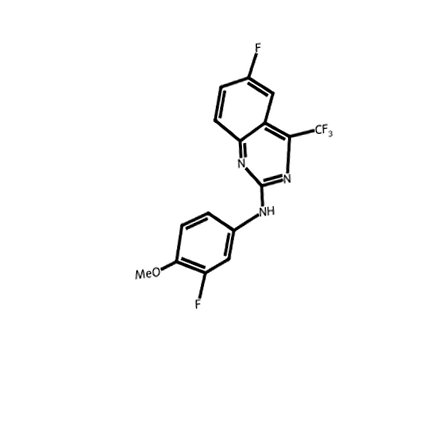 COc1ccc(Nc2nc(C(F)(F)F)c3cc(F)ccc3n2)cc1F